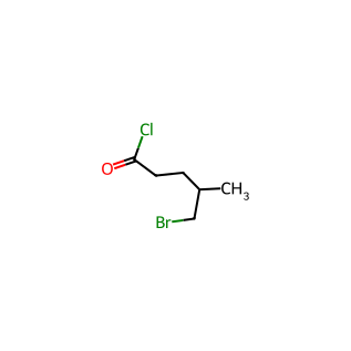 CC(CBr)CCC(=O)Cl